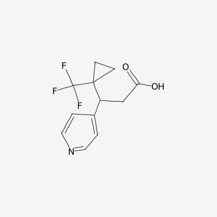 O=C(O)CC(c1ccncc1)C1(C(F)(F)F)CC1